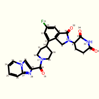 O=C1CCC(N2Cc3c(cc(F)cc3C3CCN(C(=O)c4cn5ccccc5n4)CC3)C2=O)C(=O)N1